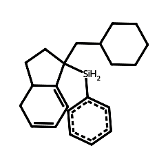 C1=CCC2CCC(CC3CCCCC3)([SiH2]c3ccccc3)C2=C1